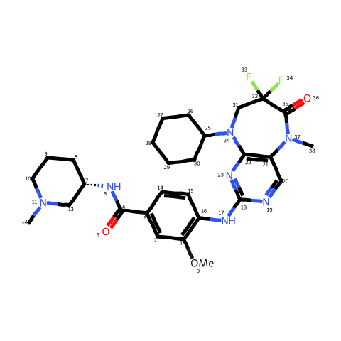 COc1cc(C(=O)N[C@H]2CCCN(C)C2)ccc1Nc1ncc2c(n1)N(C1CCCCC1)CC(F)(F)C(=O)N2C